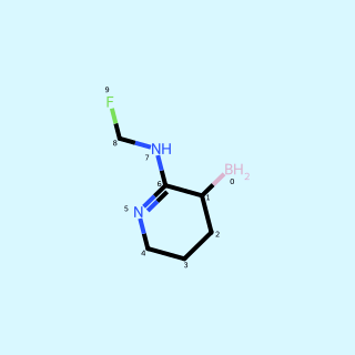 BC1CCCN=C1NCF